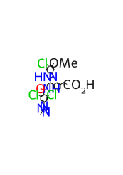 COc1cc2nc(C(CNC(=O)c3c(Cl)cc(-n4cnc(C)n4)cc3Cl)c3cccc(CC(=O)O)c3)[nH]c2cc1Cl